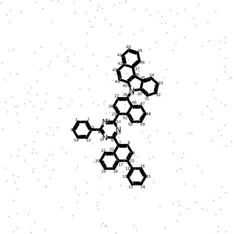 c1ccc(-c2nc(-c3ccc(-c4ccccc4)c4ccccc34)nc(-c3ccc(-n4c5ccccc5c5c6ccccc6ccc54)c4ccccc34)n2)cc1